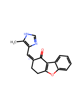 Cc1[nH]cnc1/C=C1/CCc2oc3ccccc3c2C1=O